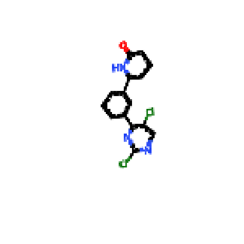 O=c1cccc(-c2cccc(-c3nc(Cl)ncc3Cl)c2)[nH]1